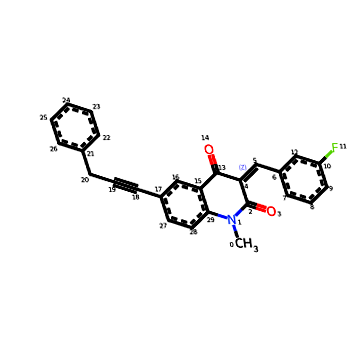 CN1C(=O)/C(=C\c2cccc(F)c2)C(=O)c2cc(C#CCc3ccccc3)ccc21